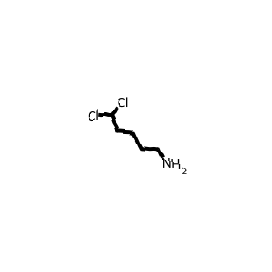 NCCCCC(Cl)Cl